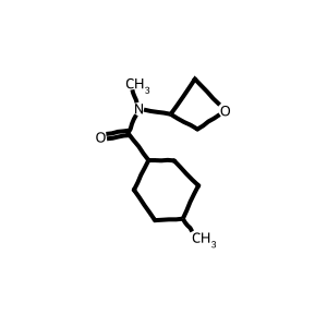 CC1CCC(C(=O)N(C)C2COC2)CC1